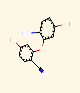 N#Cc1ccc(O)cc1Oc1cc(O)ccc1N